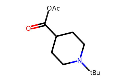 CC(=O)OC(=O)C1CCN(C(C)(C)C)CC1